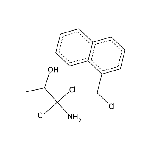 CC(O)C(N)(Cl)Cl.ClCc1cccc2ccccc12